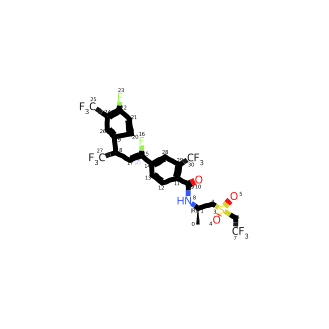 C[C@H](CS(=O)(=O)CC(F)(F)F)NC(=O)c1ccc(/C(F)=C/C(c2ccc(F)c(C(F)(F)F)c2)C(F)(F)F)cc1C(F)(F)F